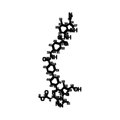 COC(=O)C[C@@H]1N=C(c2ccc(-c3ccc(C(=O)NCc4ccc(S(=O)(=O)Nc5ccc(C)c6c(C#N)c[nH]c56)cc4)cc3)cc2)c2c(sc(CO)c2C)-n2c(C)nnc21